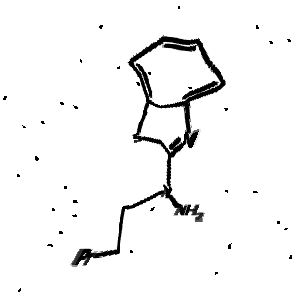 CC(C)CCN(N)c1nc2ccccc2s1